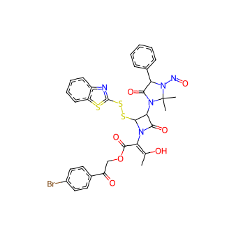 C/C(O)=C(\C(=O)OCC(=O)c1ccc(Br)cc1)N1C(=O)C(N2C(=O)C(c3ccccc3)N(N=O)C2(C)C)C1SSc1nc2ccccc2s1